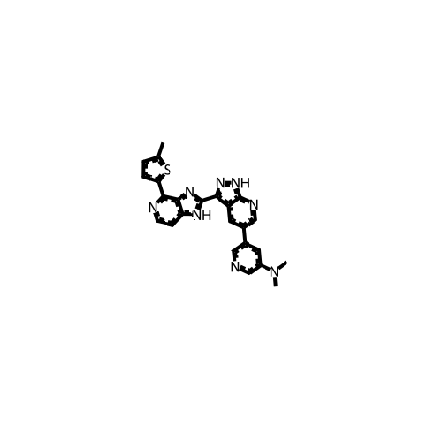 Cc1ccc(-c2nccc3[nH]c(-c4n[nH]c5ncc(-c6cncc(N(C)C)c6)cc45)nc23)s1